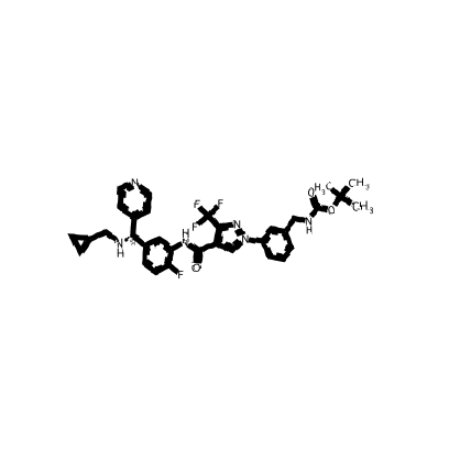 CC(C)(C)OC(=O)NCc1cccc(-n2cc(C(=O)Nc3cc([C@H](NCC4CC4)c4ccncc4)ccc3F)c(C(F)(F)F)n2)c1